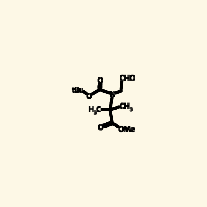 COC(=O)C(C)(C)N(CC=O)C(=O)OC(C)(C)C